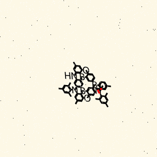 Cc1cc(C)c(N2c3cc4c(cc3B3c5cc6c(cc5Oc5cc(C)cc2c53)N(c2c(C)cc(C)cc2C)c2cc(C)cc3c2B6c2ccccc2O3)B2c3ccccc3Oc3cc(C)cc(c32)N4)c(C)c1